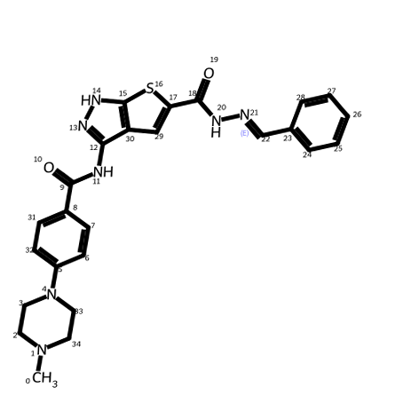 CN1CCN(c2ccc(C(=O)Nc3n[nH]c4sc(C(=O)N/N=C/c5ccccc5)cc34)cc2)CC1